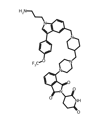 NCCCn1cc(-c2ccc(OC(F)(F)F)cc2)c2cc(CN3CCC(CN4CCN(c5cccc6c5C(=O)N(C5CCC(=O)NC5=O)C6=O)CC4)CC3)ccc21